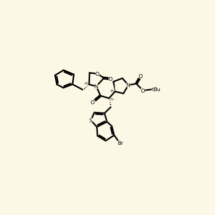 CC(C)(C)OC(=O)N1CC[C@H]([C@H](Cc2csc3ccc(Br)cc23)C(=O)N2C(=O)OC[C@H]2Cc2ccccc2)C1